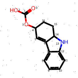 O=C(O)OC1C=C2c3ccccc3NC2CC1